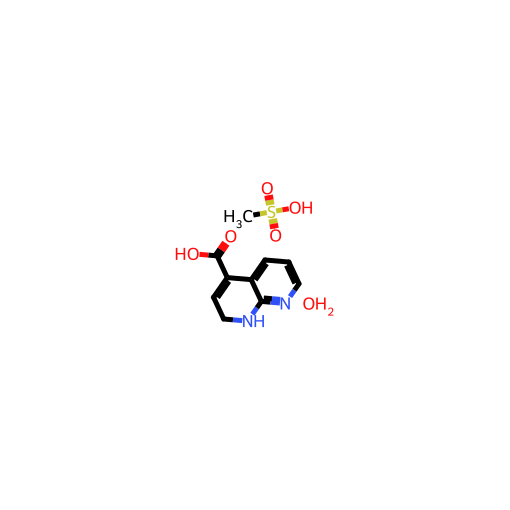 CS(=O)(=O)O.O.O=C(O)C1=CCNc2ncccc21